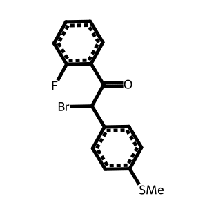 CSc1ccc(C(Br)C(=O)c2ccccc2F)cc1